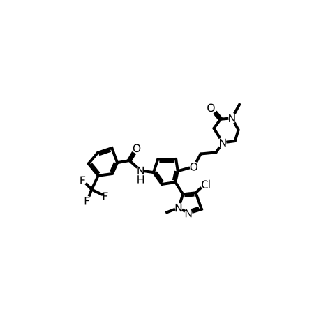 CN1CCN(CCOc2ccc(NC(=O)c3cccc(C(F)(F)F)c3)cc2-c2c(Cl)cnn2C)CC1=O